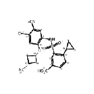 N#Cc1cc(NS(=O)(=O)c2cc(C(=O)O)ccc2C2CC2)c(O[C@H]2C[C@@H](C#N)C2)cc1Cl